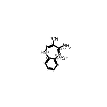 Cl.N#CC1=CNc2ccccc2N=C1N